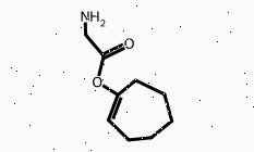 NCC(=O)OC1=CCCCCC1